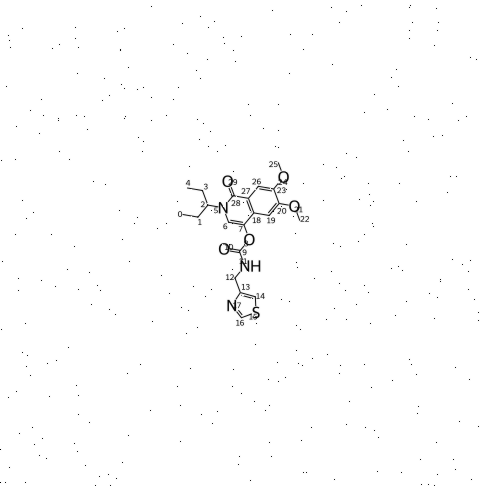 CCC(CC)n1cc(OC(=O)NCc2cscn2)c2cc(OC)c(OC)cc2c1=O